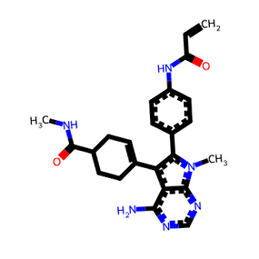 C=CC(=O)Nc1ccc(-c2c(C3=CCC(C(=O)NC)CC3)c3c(N)ncnc3n2C)cc1